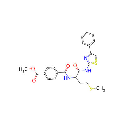 COC(=O)c1ccc(C(=O)NC(CCSC)C(=O)Nc2nc(-c3ccccc3)cs2)cc1